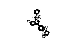 O=C1CCc2nc3cc(-c4cn(S(=O)(=O)c5ccccc5)c5cc(F)ccc45)ccc3n21